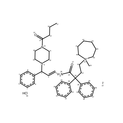 C=CC(c1ccccc1)N1CCN(C(=O)CCC)CC1.C[N+]1(CCC(C(N)=O)(c2ccccc2)c2ccccc2)CCCCCC1.Cl.[I-]